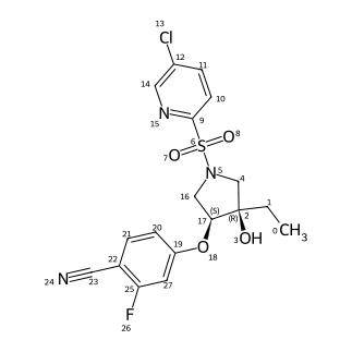 CC[C@@]1(O)CN(S(=O)(=O)c2ccc(Cl)cn2)C[C@@H]1Oc1ccc(C#N)c(F)c1